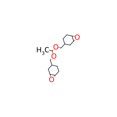 CC(OCC1CCC2OC2C1)OCC1CCC2OC2C1